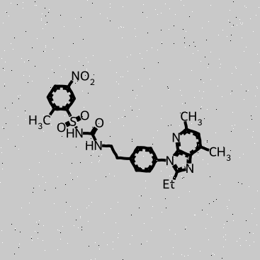 CCc1nc2c(C)cc(C)nc2n1-c1ccc(CCNC(=O)NS(=O)(=O)c2cc([N+](=O)[O-])ccc2C)cc1